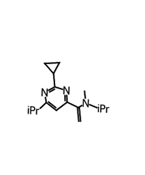 C=C(c1cc(C(C)C)nc(C2CC2)n1)N(C)C(C)C